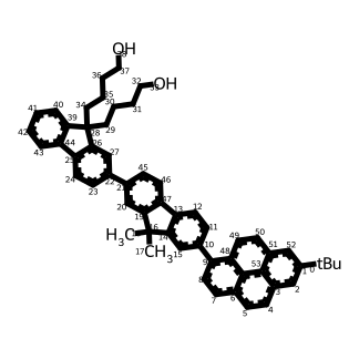 CC(C)(C)c1cc2ccc3ccc(-c4ccc5c(c4)C(C)(C)c4cc(-c6ccc7c(c6)C(CCCCO)(CCCCO)c6ccccc6-7)ccc4-5)c4ccc(c1)c2c34